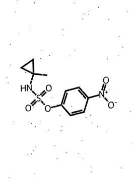 CC1(NS(=O)(=O)Oc2ccc([N+](=O)[O-])cc2)CC1